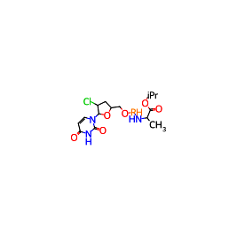 CC(C)OC(=O)C(C)NPOCC1CC(Cl)C(n2ccc(=O)[nH]c2=O)O1